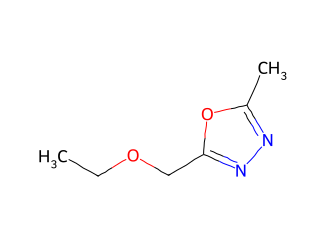 CCOCc1nnc(C)o1